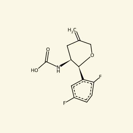 C=C1CO[C@@H](c2cc(F)ccc2F)[C@@H](NC(=O)O)C1